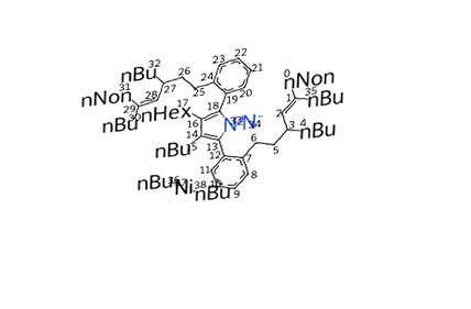 CCCCCCCCCC(=CC(CCCC)CCc1ccccc1C1=C(CCCC)C(CCCCCC)=C(c2ccccc2CCC(C=C(CCCC)CCCCCCCCC)CCCC)[N+]1=[N-])CCCC.CCC[CH2][Ni][CH2]CCC